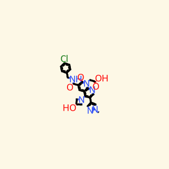 Cn1cc(-c2cnc3c(cc(C(=O)NCc4ccc(Cl)cc4)c(=O)n3CC(=O)O)c2N2CC(O)C2)cn1